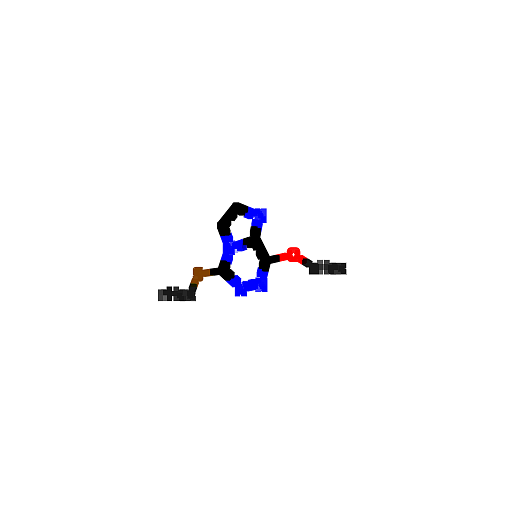 CCCCCCOc1nnc(SCCCCCC)n2ccnc12